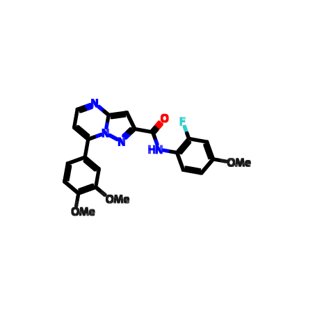 COc1ccc(NC(=O)c2cc3nccc(-c4ccc(OC)c(OC)c4)n3n2)c(F)c1